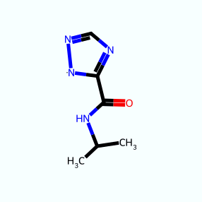 CC(C)NC(=O)C1=NC=N[N]1